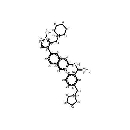 C=C(Nc1cc2cc(-c3cnn(C)c3CN3CCCCC3)ccc2cn1)c1cccc(CN2CCCC2)c1